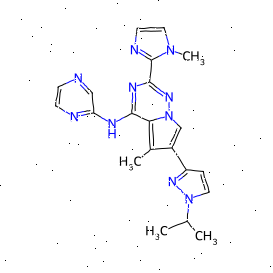 Cc1c(-c2ccn(C(C)C)n2)cn2nc(-c3nccn3C)nc(Nc3cnccn3)c12